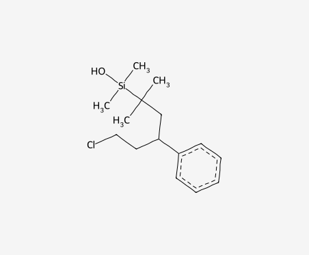 CC(C)(CC(CCCl)c1ccccc1)[Si](C)(C)O